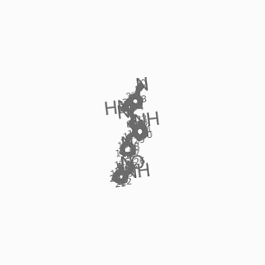 N#Cc1ccc2c(-c3cc4c(CN5CCC(N6Cc7ccccc7NC6=O)CC5)cccc4[nH]3)n[nH]c2c1